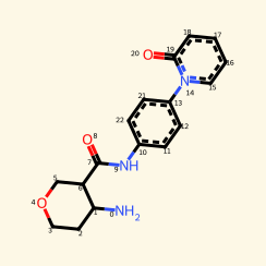 NC1CCOCC1C(=O)Nc1ccc(-n2ccccc2=O)cc1